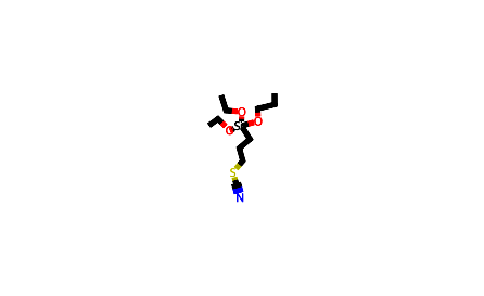 CCCO[Si](CCCSC#N)(OCC)OCC